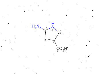 NC1CC(C(=O)O)CN1